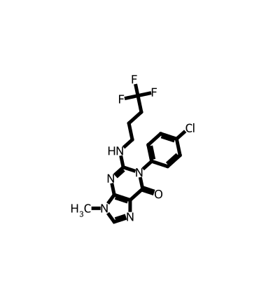 Cn1cnc2c(=O)n(-c3ccc(Cl)cc3)c(NCCCC(F)(F)F)nc21